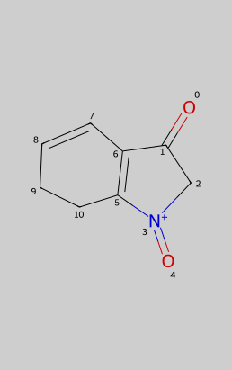 O=C1C[N+](=O)C2=C1C=CCC2